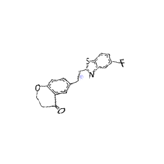 O=C1CCOc2ccc(/C=C/c3nc4cc(F)ccc4s3)cc21